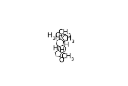 CC1(C)CCC[C@]2(C)[C@H]3CC[C@@]4(C)C(=O)CC[C@H]4[C@@H]3CC[C@@H]12